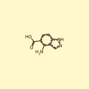 Nc1c(C(=O)O)ccc2[nH]ncc12